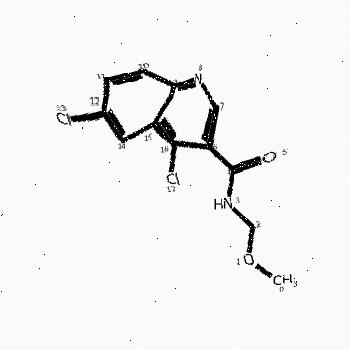 COCNC(=O)c1cnc2ccc(Cl)cc2c1Cl